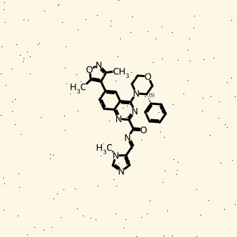 Cc1noc(C)c1-c1ccc2nc(C(=O)N=Cc3cncn3C)nc(N3CCOC[C@@H]3c3ccccc3)c2c1